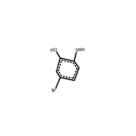 CSc1ccc(Br)cc1O